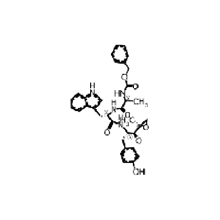 C[C@H](NC(=O)OCc1ccccc1)C(=O)N[C@@H](Cc1c[nH]c2ccccc12)C(=O)N[C@@H](Cc1ccc(O)cc1)C(=O)[C@@]1(C)CO1